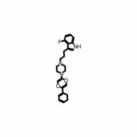 Fc1cccc2[nH]cc(CCCN3CCN(C4=COC(C5=CC=CCC5)=CO4)CC3)c12